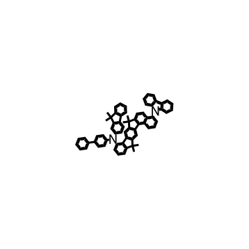 CC1(C)c2ccccc2-c2ccc(N(c3ccc(-c4ccccc4)cc3)c3cccc4c3-c3cc5c(cc3C4(C)C)-c3c(ccc4c(-n6c7ccccc7c7ccccc76)cccc34)C5(C)C)cc21